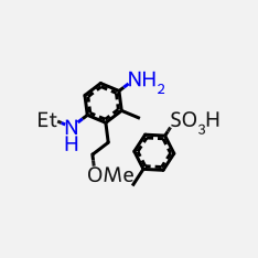 CCNc1ccc(N)c(C)c1CCOC.Cc1ccc(S(=O)(=O)O)cc1